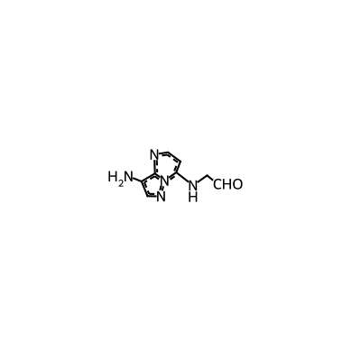 Nc1cnn2c(NCC=O)ccnc12